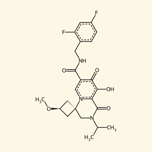 CO[C@H]1C[C@]2(CN(C(C)C)C(=O)c3c(O)c(=O)c(C(=O)NCc4ccc(F)cc4F)cn32)C1